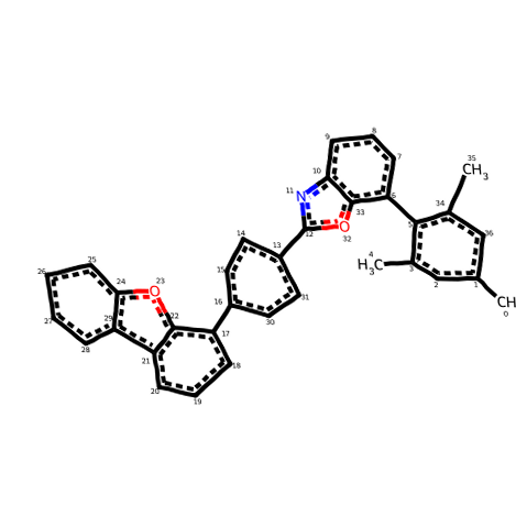 Cc1cc(C)c(-c2cccc3nc(-c4ccc(-c5cccc6c5oc5ccccc56)cc4)oc23)c(C)c1